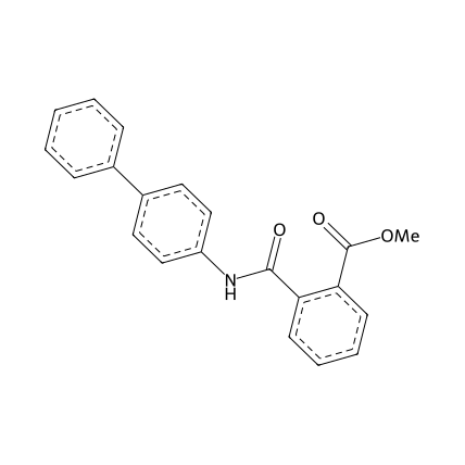 COC(=O)c1ccccc1C(=O)Nc1ccc(-c2ccccc2)cc1